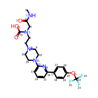 CNC(=O)CN(CCN1CCN(c2cccc(-c3ccc(OC(F)(F)F)cc3)n2)CC1)C(=O)O